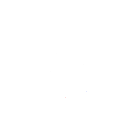 c1ccc(-c2c3ccccc3c(-c3cccc4c3c3c5ccccc5oc3n4-c3ccccc3)c3ccccc23)cc1